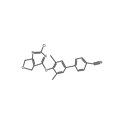 Cc1cc(-c2ccc(C#N)cc2)cc(C)c1Oc1nc(Cl)nc2c1COC2